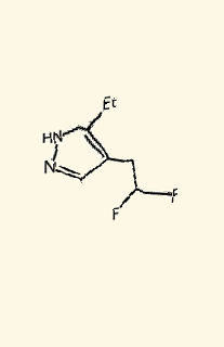 CCc1[nH]n[c]c1CC(F)F